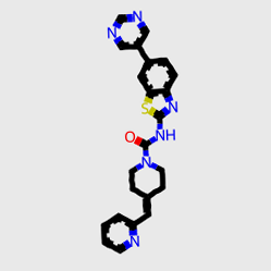 O=C(Nc1nc2ccc(-c3cncnc3)cc2s1)N1CCC(=Cc2ccccn2)CC1